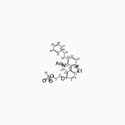 CCc1ccc(OCCOS(C)(=O)=O)c(CN(C(C)=O)c2cc(F)ccc2CCc2ccccc2)c1